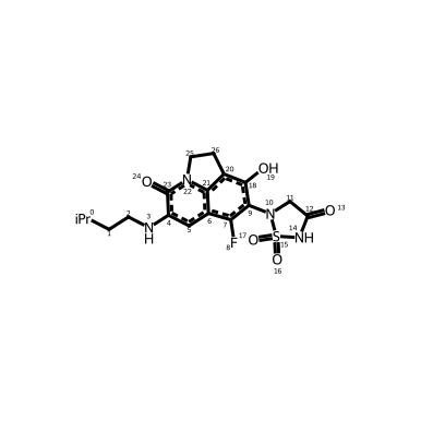 CC(C)CCNc1cc2c(F)c(N3CC(=O)NS3(=O)=O)c(O)c3c2n(c1=O)CC3